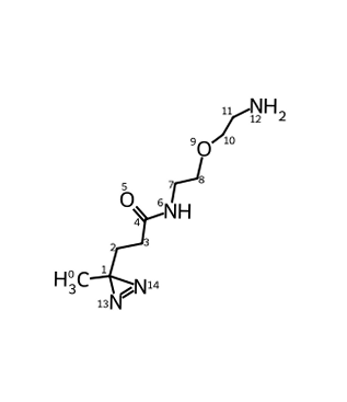 CC1(CCC(=O)NCCOCCN)N=N1